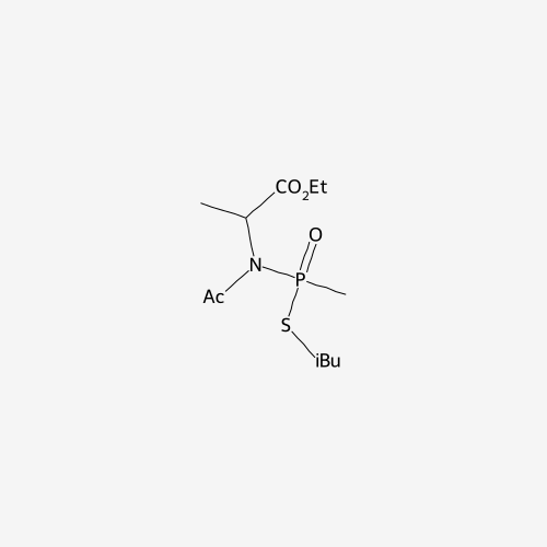 CCOC(=O)C(C)N(C(C)=O)P(C)(=O)SC(C)CC